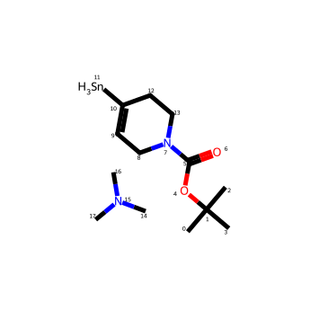 CC(C)(C)OC(=O)N1CC=[C]([SnH3])CC1.CN(C)C